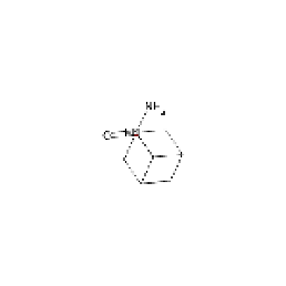 NC(=O)C1C2CNCC1C2